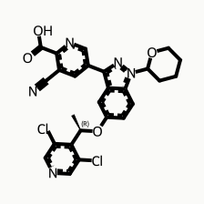 C[C@@H](Oc1ccc2c(c1)c(-c1cnc(C(=O)O)c(C#N)c1)nn2C1CCCCO1)c1c(Cl)cncc1Cl